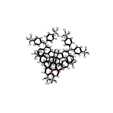 CC1(C2(C)c3cc(N(c4ccc([Si](C)(C)C)cc4)c4ccc([Si](C)(C)C)cc4)c4ccccc4c3-c3c2cc(N(c2ccc([Si](C)(C)C)cc2)c2ccc([Si](C)(C)C)cc2)c2ccccc32)c2cc(N(c3ccc([Si](C)(C)C)cc3)c3ccc([Si](C)(C)C)cc3)c3ccccc3c2-c2c1cc(N(c1ccc([Si](C)(C)C)cc1)c1ccc([Si](C)(C)C)cc1)c1ccccc21